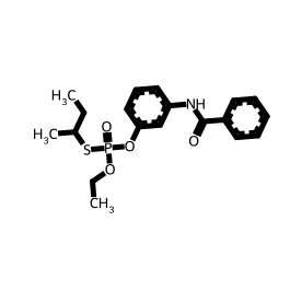 CCOP(=O)(Oc1cccc(NC(=O)c2ccccc2)c1)SC(C)CC